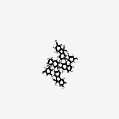 Cc1cc(C)c(B2c3cc4c(cc3N3c5cc6ccccc6c6c5N(c5cc7c(cc5B6c5c(C)cc(C)cc5C)C(C)(C)c5cc(C)ccc5-7)c5cc6ccccc6c2c53)-c2ccc(C)cc2C4(C)C)c(C)c1